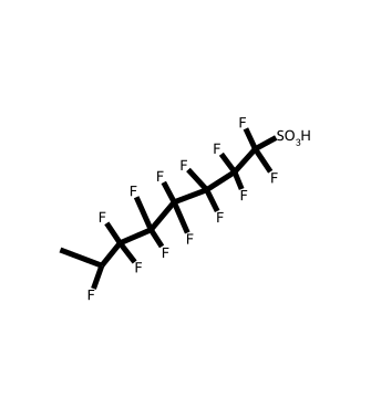 CC(F)C(F)(F)C(F)(F)C(F)(F)C(F)(F)C(F)(F)C(F)(F)S(=O)(=O)O